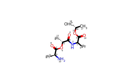 CC(C)C(NC(=O)[C@H](OC(=O)[C@@H](N)C(C)C)C(C)C)C(=O)O[C@@H](C)C=O